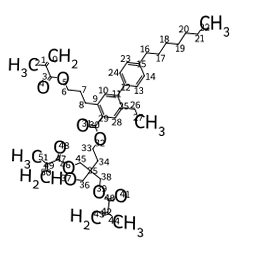 C=C(C)C(=O)OCCCc1cc(-c2ccc(CCCCCCC)cc2)c(CC)cc1C(=O)OCCC(CO)(COC(=O)C(=C)C)COC(=O)C(=C)C